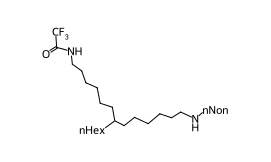 CCCCCCCCCNCCCCCCC(CCCCCC)CCCCCCNC(=O)C(F)(F)F